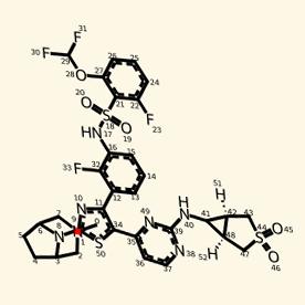 CN1CC2CCC(C1)N2c1nc(-c2cccc(NS(=O)(=O)c3c(F)cccc3OC(F)F)c2F)c(-c2ccnc(NC3[C@H]4CS(=O)(=O)C[C@@H]34)n2)s1